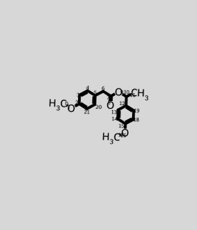 COc1ccc(CC(=O)OC(C)c2ccc(OC)cc2)cc1